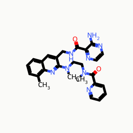 Cc1cccc2cc(CNC(=O)c3nccnc3N)c(N(C)CCN(C)C(=O)c3ccccn3)nc12